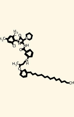 CCCCCCCCCCCCCCCc1cccc(OC(C)CCNc2cccc(C(=O)NC3=NN(c4c(C)cc(C)cc4Cl)C(=O)C3N3CCCCC3)c2)c1